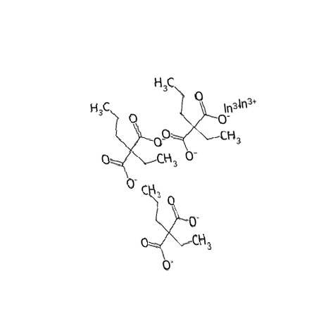 CCCC(CC)(C(=O)[O-])C(=O)[O-].CCCC(CC)(C(=O)[O-])C(=O)[O-].CCCC(CC)(C(=O)[O-])C(=O)[O-].[In+3].[In+3]